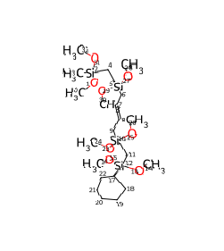 CO[Si](C)(C[Si](C/C=C/C[Si](C[Si](OC)(OC)C1CCCCC1)(OC)OC)(OC)OC)OC